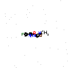 Cc1nc2cc(NC(=O)c3ccc(-c4ccc(F)cc4)nc3)ccc2s1